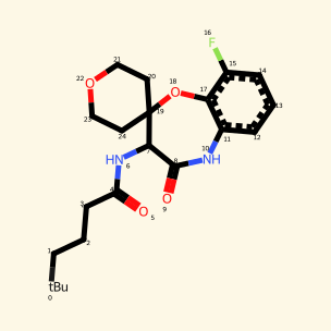 CC(C)(C)CC[CH]C(=O)NC1C(=O)Nc2cccc(F)c2OC12CCOCC2